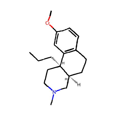 CCC[C@@]12CCN(C)C[C@@H]1CCc1ccc(OC)cc12